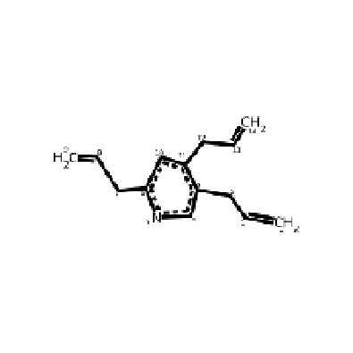 C=C[CH]c1cnc(CC=C)cc1CC=C